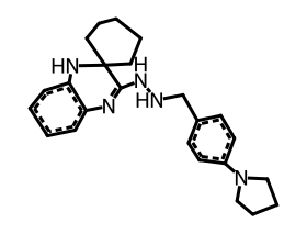 c1ccc2c(c1)N=C(NNCc1ccc(N3CCCC3)cc1)C1(CCCCC1)N2